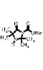 COC(=O)N1C(=O)C(C)(C)N([O])C1(C)C